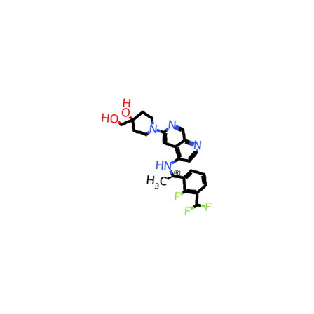 C[C@@H](Nc1ccnc2cnc(N3CCC(O)(CO)CC3)cc12)c1cccc(C(F)F)c1F